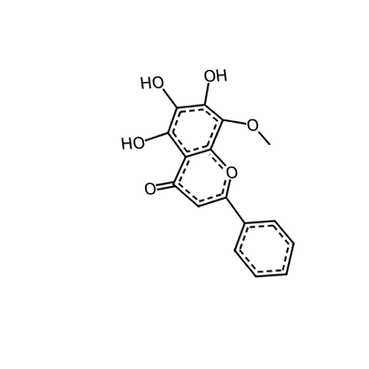 COc1c(O)c(O)c(O)c2c(=O)cc(-c3ccccc3)oc12